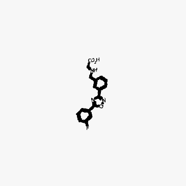 O=C(O)CNCc1cccc(-c2noc(-c3cccc(F)c3)n2)c1